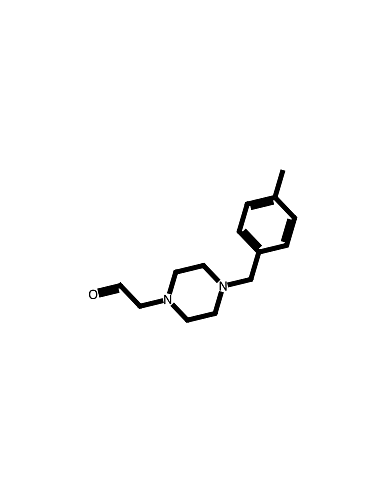 Cc1ccc(CN2CCN(C[C]=O)CC2)cc1